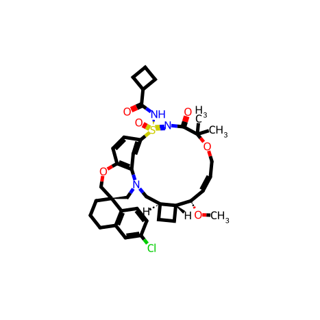 CO[C@H]1C=CCOC(C)(C)C(=O)N=[S@@](=O)(NC(=O)C2CCC2)c2ccc3c(c2)N(C[C@@H]2CC[C@H]21)C[C@@]1(CCCc2cc(Cl)ccc21)CO3